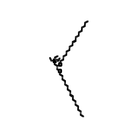 CCCCCCCCC=CCCCCCCCCOCC(C[N+](CC)(CC)CC)OCCCCCCCCC=CCCCCCCCC